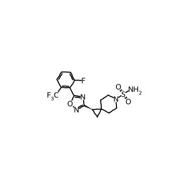 NS(=O)(=O)N1CCC2(CC1)C[C@H]2c1noc(-c2c(F)cccc2C(F)(F)F)n1